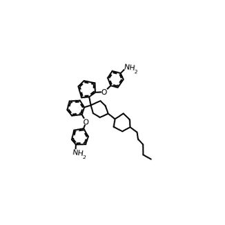 CCCCCC1CCC(C2CCC(c3ccccc3Oc3ccc(N)cc3)(c3ccccc3Oc3ccc(N)cc3)CC2)CC1